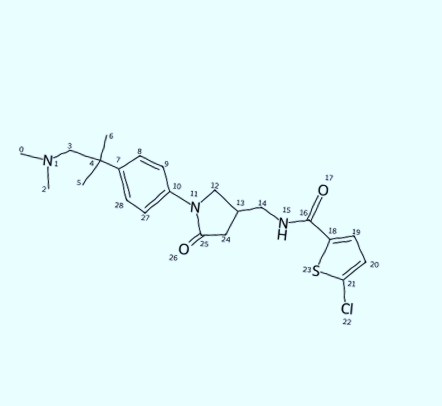 CN(C)CC(C)(C)c1ccc(N2CC(CNC(=O)c3ccc(Cl)s3)CC2=O)cc1